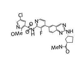 CNC(=O)[C@@H]1CC[C@@H](Nc2ncc3cc(-c4ccnc(NS(=O)(=O)c5cc(Cl)cnc5OC)c4F)ccc3n2)C1